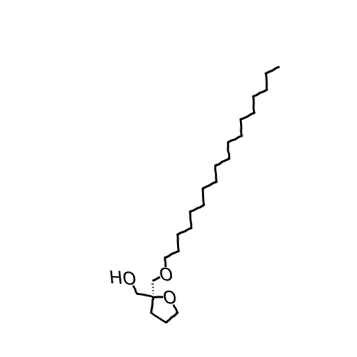 CCCCCCCCCCCCCCCCCCOC[C@@]1(CO)CCCO1